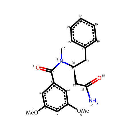 COc1cc(OC)cc(C(=O)N(C)[C@H](CC(N)=O)Cc2ccccc2)c1